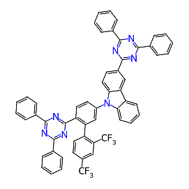 FC(F)(F)c1ccc(-c2cc(-n3c4ccccc4c4cc(-c5nc(-c6ccccc6)nc(-c6ccccc6)n5)ccc43)ccc2-c2nc(-c3ccccc3)nc(-c3ccccc3)n2)c(C(F)(F)F)c1